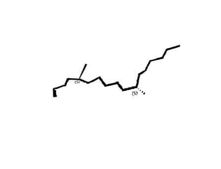 C=CCC[C@@H](C)CCCCC[C@@H](C)CCCCCC